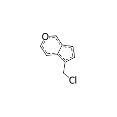 ClCc1ccc2coccc1-2